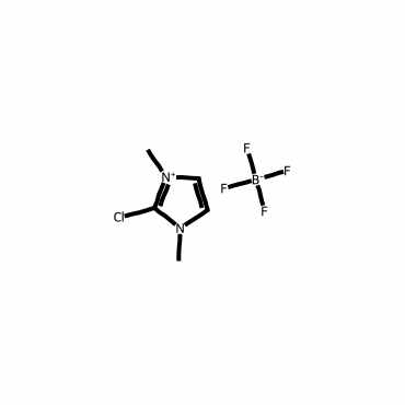 Cn1cc[n+](C)c1Cl.F[B-](F)(F)F